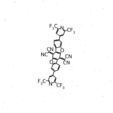 N#CC(C#N)=c1c2oc3cc(-c4cc(C(F)(F)F)nc(C(F)(F)F)c4)ccc3c2c(=C(C#N)C#N)c2oc3cc(-c4cc(C(F)(F)F)nc(C(F)(F)F)c4)ccc3c12